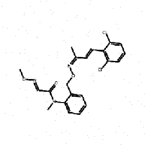 CON=CC(=O)N(C)c1ccccc1CON=C(C)C=Cc1c(Cl)cccc1Cl